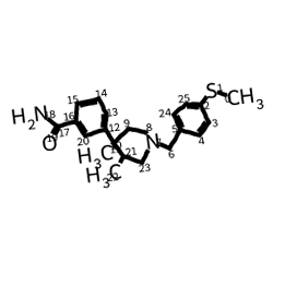 CSc1ccc(CN2CCC(C)(c3cccc(C(N)=O)c3)C(C)C2)cc1